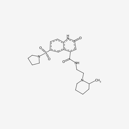 CC1CCCCN1CCNC(=O)c1cc(=O)[nH]c2ccc(S(=O)(=O)N3CCCC3)cc12